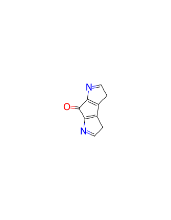 O=C1C2=C(CC=N2)C2=C1N=CC2